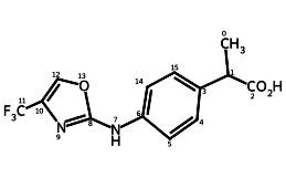 CC(C(=O)O)c1ccc(Nc2nc(C(F)(F)F)co2)cc1